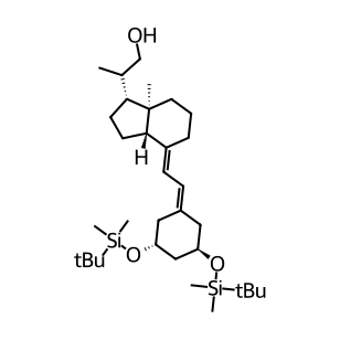 CC(CO)[C@H]1CC[C@H]2/C(=C/C=C3C[C@@H](O[Si](C)(C)C(C)(C)C)C[C@H](O[Si](C)(C)C(C)(C)C)C3)CCC[C@]12C